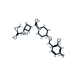 O=C1N[C@]2(CO1)C[C@@H](C(=O)N1CCC(OCc3ccc(F)cc3Cl)CC1)C2